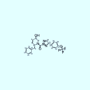 O=C(N1C[C@H](O)C=C[C@@H]1Cc1ccccc1)n1ncc(-c2ccc(OC(F)(F)F)cc2)n1